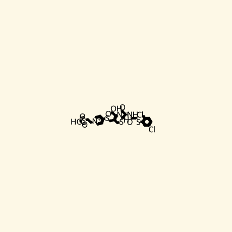 O=C(CSc1cc(Cl)ccc1Cl)N[C@H]1C(=O)N2C(C(=O)O)=C(CSc3cc[n+](CCS(=O)(=O)O)cc3)CS[C@H]12